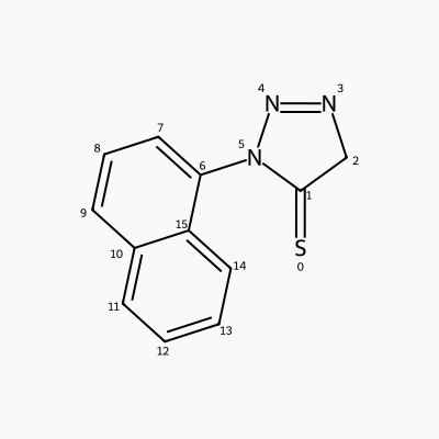 S=C1CN=NN1c1cccc2ccccc12